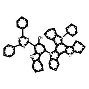 N#Cc1cc(-n2c3ccccc3c3c4oc5ccccc5c4c4c(c5ccccc5n4-c4ccccc4)c32)c2c(oc3ccccc32)c1-c1nc(-c2ccccc2)nc(-c2ccccc2)n1